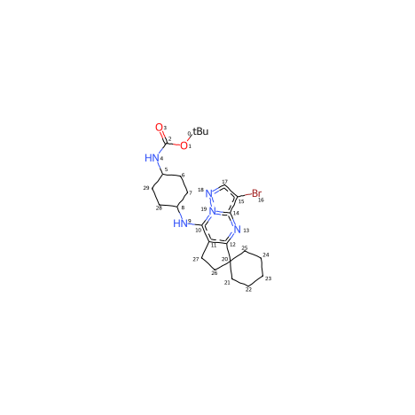 CC(C)(C)OC(=O)NC1CCC(Nc2c3c(nc4c(Br)cnn24)C2(CCCCC2)CC3)CC1